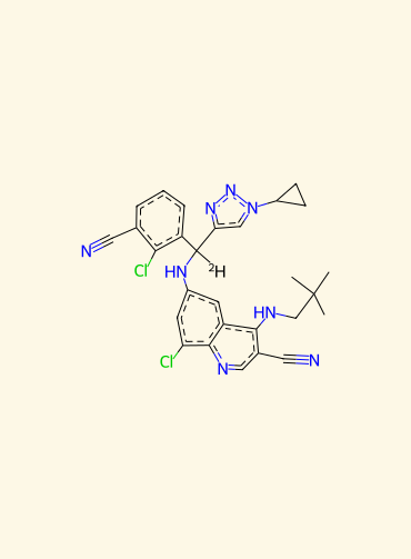 [2H]C(Nc1cc(Cl)c2ncc(C#N)c(NCC(C)(C)C)c2c1)(c1cn(C2CC2)nn1)c1cccc(C#N)c1Cl